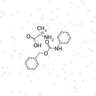 C[C@H](N)C(=O)O.O=C(Nc1ccccc1)OCc1ccccc1